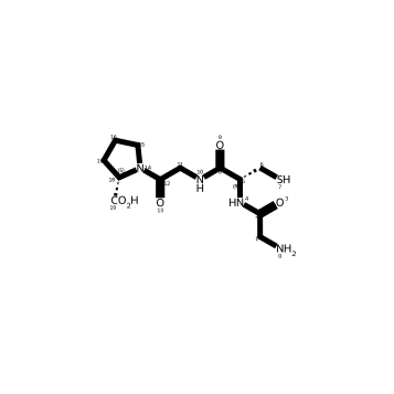 NCC(=O)N[C@@H](CS)C(=O)NCC(=O)N1CCC[C@H]1C(=O)O